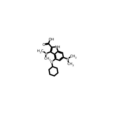 CN(C)c1cc(OC2CCCCC2)c2c(N(C)C)c(C(=O)O)[nH]c2c1